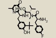 Cc1cc(=O)[nH]c([C@H](Cc2ccc(O)c(C(C)(C)C)c2)NC(=O)[C@H](C(C)C)N(C)C(=O)[C@@H](N)Cc2ccc(F)cc2)n1